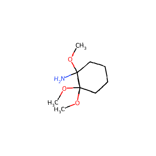 COC1(N)CCCCC1(OC)OC